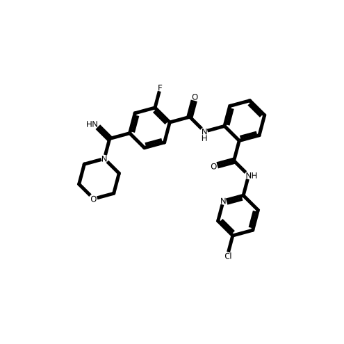 N=C(c1ccc(C(=O)Nc2ccccc2C(=O)Nc2ccc(Cl)cn2)c(F)c1)N1CCOCC1